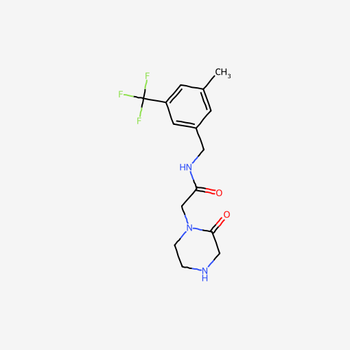 Cc1cc(CNC(=O)CN2CCNCC2=O)cc(C(F)(F)F)c1